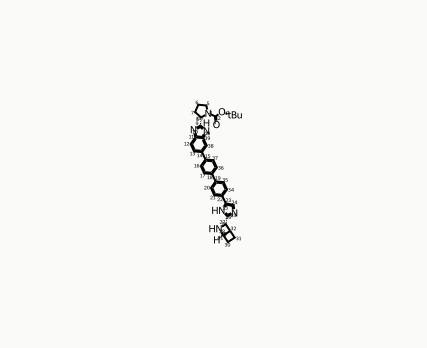 CC(C)(C)OC(=O)N1CCC[C@H]1c1nc2ccc(-c3ccc(-c4ccc(-c5cnc([C@H]6N[C@@H]7CCC67)[nH]5)cc4)cc3)cc2[nH]1